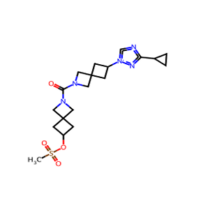 CS(=O)(=O)OC1CC2(C1)CN(C(=O)N1CC3(CC(n4cnc(C5CC5)n4)C3)C1)C2